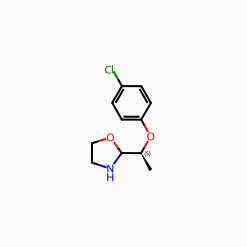 C[C@H](Oc1ccc(Cl)cc1)C1NCCO1